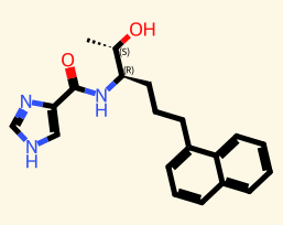 C[C@H](O)[C@@H](CCCc1cccc2ccccc12)NC(=O)c1c[nH]cn1